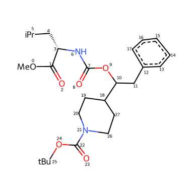 COC(=O)[C@H](CC(C)C)NC(=O)OC(Cc1ccccc1)C1CCN(C(=O)OC(C)(C)C)CC1